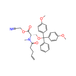 C=CCCC(=O)N(C)[C@@H](COC(c1ccccc1)(c1ccc(OC)cc1)c1ccc(OC)cc1)C(=O)OCC#N